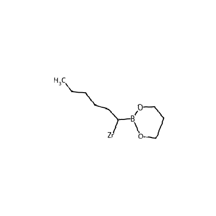 CCCCC[CH]([Zr])B1OCCCO1